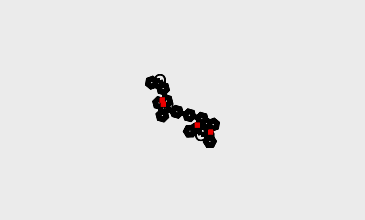 c1ccc(-c2ccccc2N(c2ccc(-c3ccc(-c4ccc5c(c4)C4(c6ccccc6-5)c5ccc6ccccc6c5Oc5c4ccc4ccccc54)cc3)cc2)c2ccc(-c3ccc4oc5ccccc5c4c3)cc2)cc1